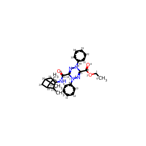 CCOC(=O)C1=NN(c2ccccc2)C(C(=O)NC2CC3CC(C2C)C3(C)C)=NN1c1ccccc1